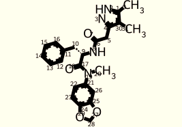 Cc1[nH]nc(CC(=O)N[C@@H](Cc2ccccc2)C(=O)N(C)c2ccc3c(c2)OCO3)c1C